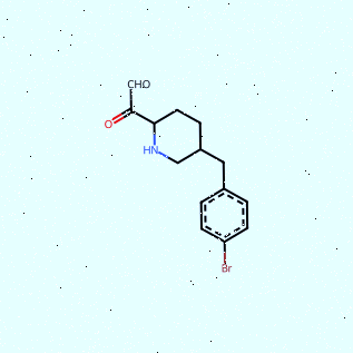 O=CC(=O)C1CCC(Cc2ccc(Br)cc2)CN1